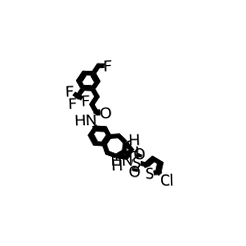 O=C(CCc1cc(CF)ccc1C(F)(F)F)Nc1ccc2c(c1)C[C@H]1CC[C@@H](C2)[C@H]1NS(=O)(=O)c1ccc(Cl)s1